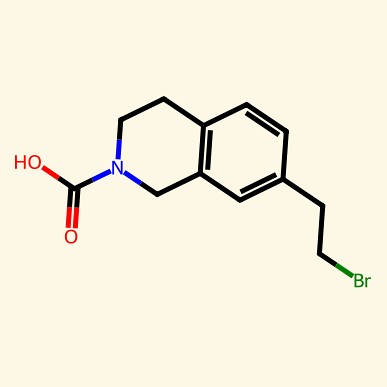 O=C(O)N1CCc2ccc(CCBr)cc2C1